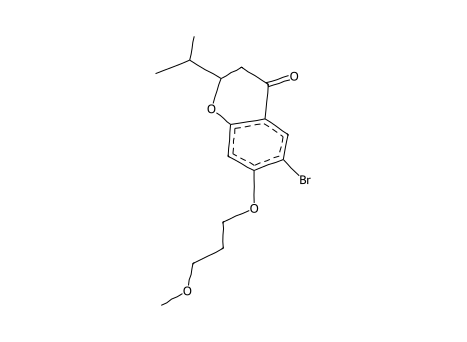 COCCCOc1cc2c(cc1Br)C(=O)CC(C(C)C)O2